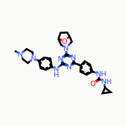 CN1CCN(c2ccc(Nc3nc(-c4ccc(NC(=O)NC5CC5)cc4)nc(N4CC5CCC(C4)O5)n3)cc2)CC1